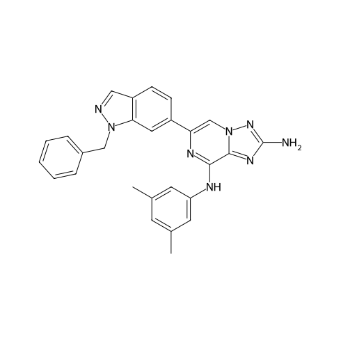 Cc1cc(C)cc(Nc2nc(-c3ccc4cnn(Cc5ccccc5)c4c3)cn3nc(N)nc23)c1